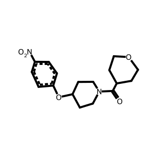 O=C(C1CCOCC1)N1CCC(Oc2ccc([N+](=O)[O-])cc2)CC1